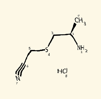 C[C@@H](N)CSCC#N.Cl